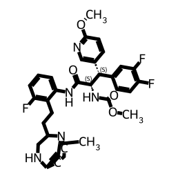 COC(=O)N[C@H](C(=O)Nc1cccc(F)c1CCC1CNC2C#CC(C)N1CCC2)[C@H](c1ccc(OC)nc1)c1ccc(F)c(F)c1